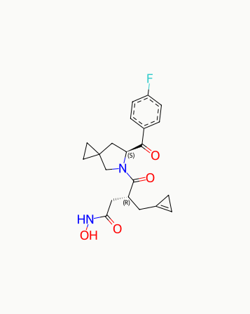 O=C(C[C@@H](CC1=CC1)C(=O)N1CC2(CC2)C[C@H]1C(=O)c1ccc(F)cc1)NO